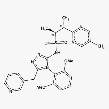 COc1cccc(OC)c1-n1c(Cc2cccnc2)nnc1NS(=O)(=O)[C@@H](C)[C@H](C)c1ncc(C)cn1